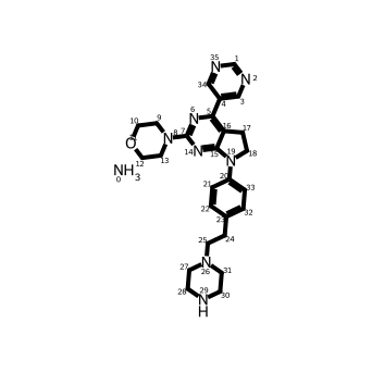 N.c1ncc(-c2nc(N3CCOCC3)nc3c2CCN3c2ccc(CCN3CCNCC3)cc2)cn1